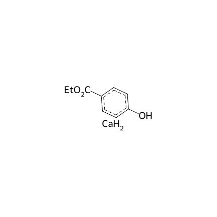 CCOC(=O)c1ccc(O)cc1.[CaH2]